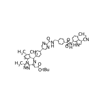 Cc1sc2c(c1C)C(c1ccc(-c3cnc(C(=O)NCc4ccc(S(=O)(=O)Nc5ccc(C)c6c(C#N)c[nH]c56)cc4)nc3)cc1)=N[C@@H](CC(=O)OC(C)(C)C)c1nnc(C)n1-2